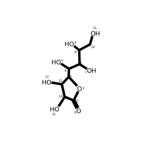 O=C1OC(C(O)C(O)C(O)CO)C(O)C1O